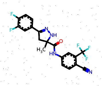 CC1(C(=O)Nc2ccc(C#N)c(C(F)(F)F)c2)CC(c2ccc(F)c(F)c2)=NN1